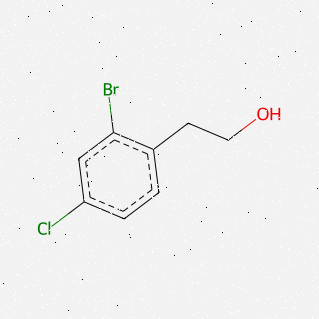 OCCc1ccc(Cl)cc1Br